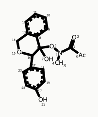 CC(=O)C(=O)N(C)OC1(O)c2ccccc2COC1c1ccc(O)cc1